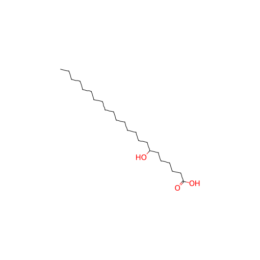 CCCCCCCCCCCCCCCCC(O)CCCCCC(=O)O